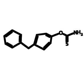 NC(=S)Oc1ccc(Cc2ccccc2)cc1